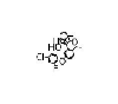 CCc1ccc(Oc2ccc(Cl)cc2F)cc1C1=C(O)[C@@H]2CCC(C)(C1=O)C2(C)C